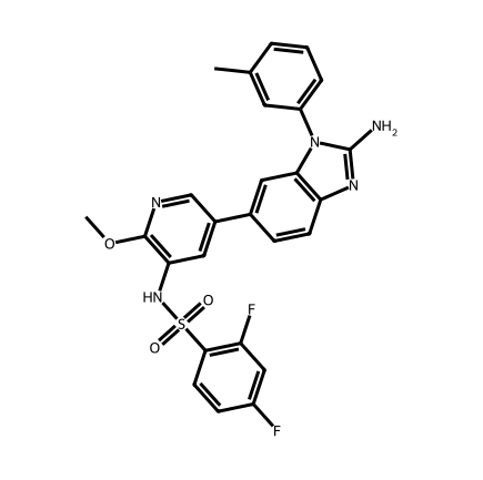 COc1ncc(-c2ccc3nc(N)n(-c4cccc(C)c4)c3c2)cc1NS(=O)(=O)c1ccc(F)cc1F